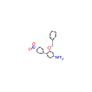 Nc1ccc(-c2ccc([N+](=O)[O-])cc2)c(OCc2ccccc2)c1